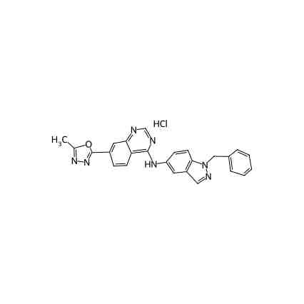 Cc1nnc(-c2ccc3c(Nc4ccc5c(cnn5Cc5ccccc5)c4)ncnc3c2)o1.Cl